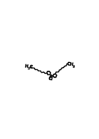 CCCCCCCCCCc1cccc(P(Cl)c2cccc(CCCCCCCCCC)c2)c1